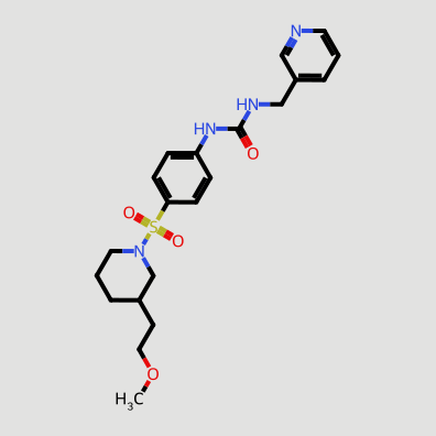 COCCC1CCCN(S(=O)(=O)c2ccc(NC(=O)NCc3cccnc3)cc2)C1